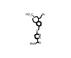 CNC(=O)c1ccc(OCc2ccc3c(c2)CCN(C(=O)O)CC3CC(C)C)nn1